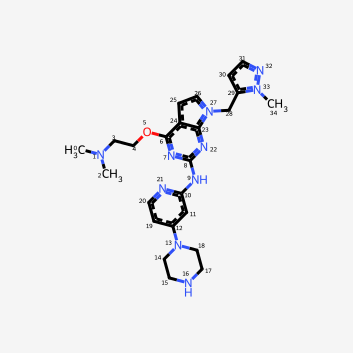 CN(C)CCOc1nc(Nc2cc(N3CCNCC3)ccn2)nc2c1ccn2Cc1ccnn1C